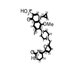 COc1c(N2CCN(Cc3ccc(C4=NC(=O)NCC4)o3)CC2)c(F)cc2c(=O)c(C(=O)O)cn(C3CC3)c12